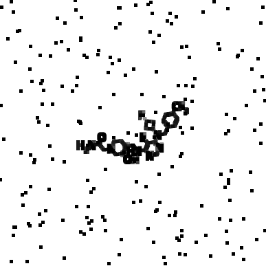 NC(=O)CN1CC[C@@H](CNc2ncnc(N(Cc3ccc(C(F)(F)F)cc3)[C@H]3C[C@@H](F)C3)c2F)[C@H](O)C1